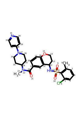 Cc1cccc(Cl)c1S(=O)(=O)NC1CCOc2ccc(C(=O)N(C)C3CCN(c4ccncc4)CC3)cc21